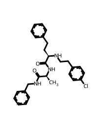 C[C@H](NC(=O)[C@@H](CCc1ccccc1)NCCc1ccc(Cl)cc1)C(=O)NCc1cc[c]cc1